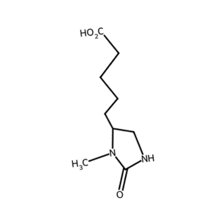 CN1C(=O)NCC1CCCCC(=O)O